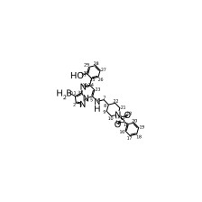 Bc1cnn2c(NCC3CCN(S(=O)(=O)c4ccccc4)CC3)cc(-c3ccccc3O)nc12